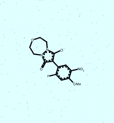 COc1cc(F)c(-c2c(Cl)n3n(c2=O)CCOCC3)cc1[N+](=O)[O-]